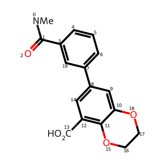 CNC(=O)c1cccc(-c2cc3c(c(C(=O)O)c2)OCCO3)c1